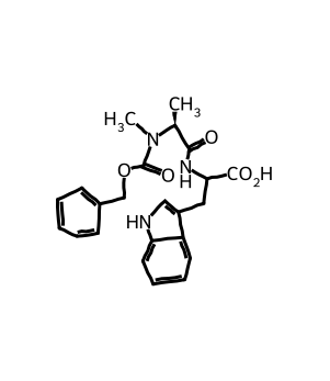 C[C@@H](C(=O)NC(Cc1c[nH]c2ccccc12)C(=O)O)N(C)C(=O)OCc1ccccc1